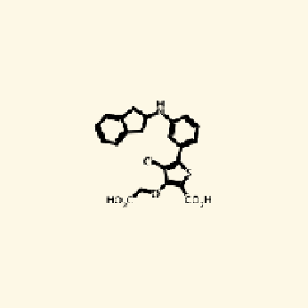 O=C(O)COc1c(C(=O)O)sc(-c2cccc(NC3Cc4ccccc4C3)c2)c1Cl